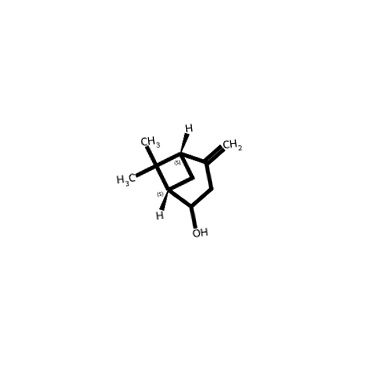 C=C1CC(O)[C@H]2C[C@@H]1C2(C)C